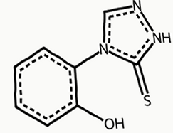 Oc1ccccc1-n1cn[nH]c1=S